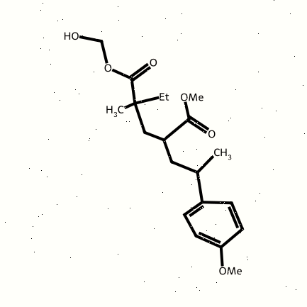 CCC(C)(CC(CC(C)c1ccc(OC)cc1)C(=O)OC)C(=O)OCO